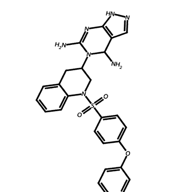 NC1=Nc2[nH]ncc2C(N)N1C1Cc2ccccc2N(S(=O)(=O)c2ccc(Oc3ccccc3)cc2)C1